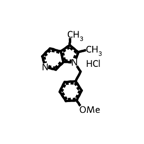 COc1cccc(Cn2c(C)c(C)c3ccncc32)c1.Cl